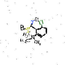 CC/N=C(/SCC)c1c(Cl)cccc1[Si](C)(C)C